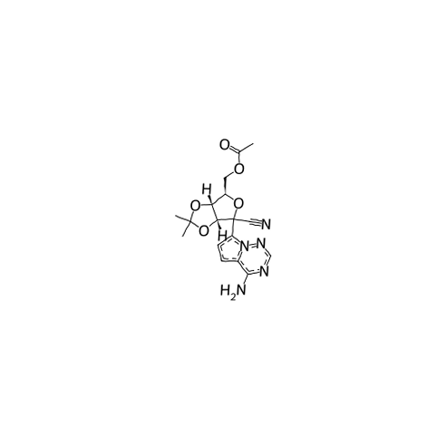 CC(=O)OC[C@H]1OC(C#N)(c2ccc3c(N)ncnn23)[C@@H]2OC(C)(C)O[C@@H]21